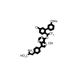 COc1cccc(-c2cc(Cl)ccc2C(Oc2ncnc3c(-c4ccc(CC(N)C(=O)O)cc4)csc23)C(F)(F)F)c1.Cl